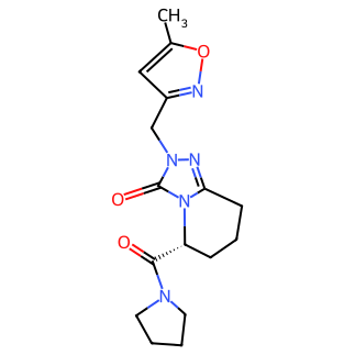 Cc1cc(Cn2nc3n(c2=O)[C@@H](C(=O)N2CCCC2)CCC3)no1